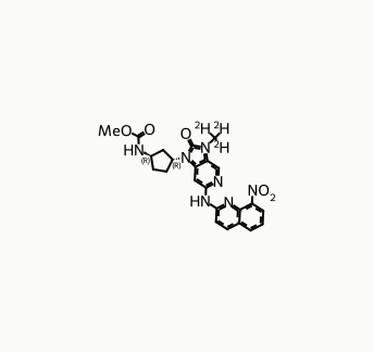 [2H]C([2H])([2H])n1c(=O)n([C@@H]2CC[C@@H](NC(=O)OC)C2)c2cc(Nc3ccc4cccc([N+](=O)[O-])c4n3)ncc21